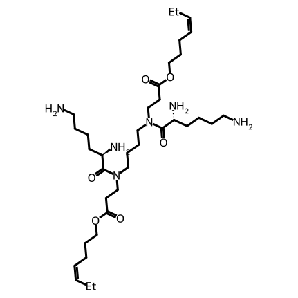 CC/C=C\CCCOC(=O)CCN(CCCCN(CCC(=O)OCCC/C=C\CC)C(=O)[C@H](N)CCCCN)C(=O)[C@H](N)CCCCN